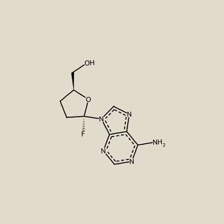 Nc1ncnc2c1ncn2[C@@]1(F)CC[C@@H](CO)O1